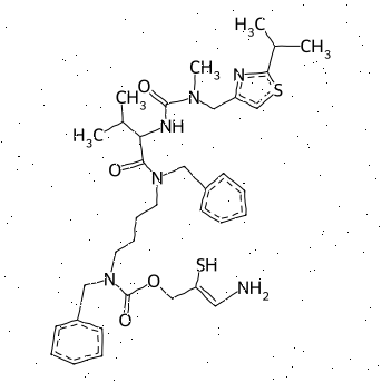 CC(C)c1nc(CN(C)C(=O)NC(C(=O)N(CCCCN(Cc2ccccc2)C(=O)OC/C(S)=C/N)Cc2ccccc2)C(C)C)cs1